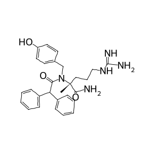 C[C@@](CCCNC(=N)N)(C(N)=O)N(Cc1ccc(O)cc1)C(=O)C(c1ccccc1)c1ccccc1